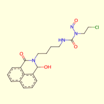 O=NN(CCCl)C(=O)NCCCCN1C(=O)c2cccc3cccc(c23)C1O